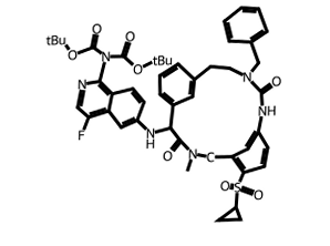 CN1Cc2cc(ccc2S(=O)(=O)C2CC2)NC(=O)N(Cc2ccccc2)CCc2cccc(c2)C(Nc2ccc3c(N(C(=O)OC(C)(C)C)C(=O)OC(C)(C)C)ncc(F)c3c2)C1=O